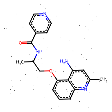 Cc1cc(N)c2c(OCC(C)NC(=O)c3ccncc3)cccc2n1